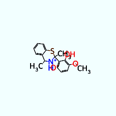 COc1cccc(C2(C)Sc3ccccc3C(C)[NH+]2[O-])c1O